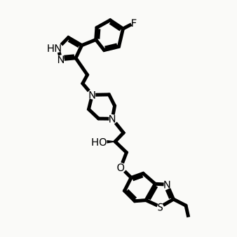 CCc1nc2cc(OC[C@@H](O)CN3CCN(CCc4n[nH]cc4-c4ccc(F)cc4)CC3)ccc2s1